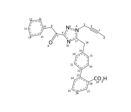 CC#CCn1nc(C(=O)Cc2ccccc2)nc1Cc1ccc(-c2ccccc2C(=O)O)cc1